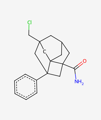 NC(=O)C12CC3CC4(CCl)CC(c5ccccc5)(C1)C2(C3)C4